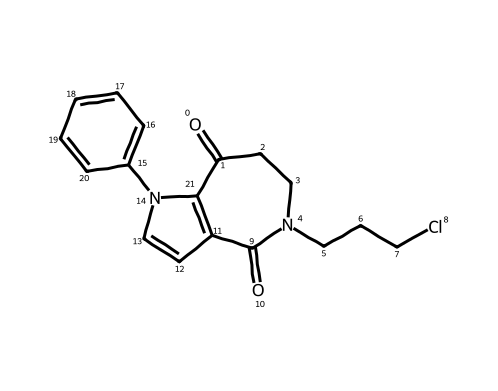 O=C1CCN(CCCCl)C(=O)c2ccn(-c3ccccc3)c21